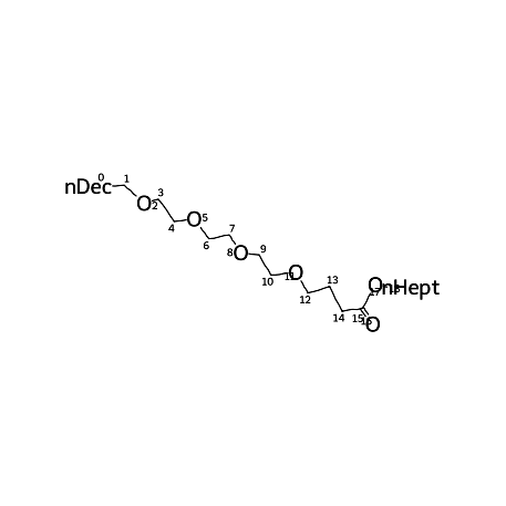 CCCCCCCCCCCOCCOCCOCCOCCCC(=O)OCCCCCCC